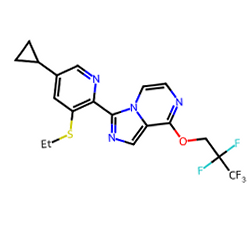 CCSc1cc(C2CC2)cnc1-c1ncc2c(OCC(F)(F)C(F)(F)F)nccn12